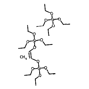 C.CCO[Si](OCC)(OCC)OCC.CCO[Si](OCC)(OCC)OCC.CCO[Si](OCC)(OCC)OCC